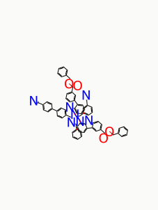 N#Cc1ccc(-c2ccc(-c3nc(-c4ccccc4)nc(-c4cc(C#N)ccc4-n4c5ccccc5c5cc(C(=O)OCc6ccccc6)ccc54)n3)c(-n3c4ccccc4c4cc(C(=O)OCc5ccccc5)ccc43)c2)cc1